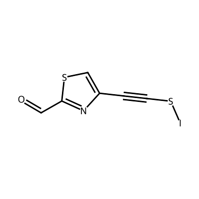 O=Cc1nc(C#CSI)cs1